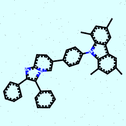 Cc1cc(C)c2c(c1)c1cc(C)cc(C)c1n2-c1ccc(-c2ccc3nc(-c4ccccc4)c(-c4ccccc4)n3c2)cc1